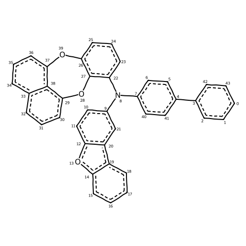 c1ccc(-c2ccc(N(c3ccc4oc5ccccc5c4c3)c3cccc4c3Oc3cccc5cccc(c35)O4)cc2)cc1